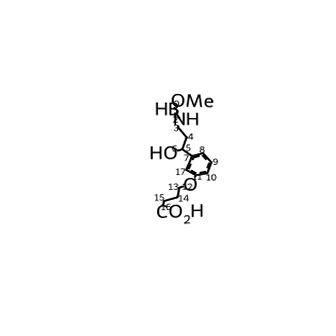 COBNCCC(O)c1cccc(OCCCC(=O)O)c1